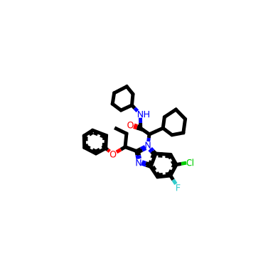 CCC(Oc1ccccc1)c1nc2cc(F)c(Cl)cc2n1C(C(=O)NC1CCCCC1)C1CCCCC1